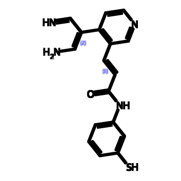 N=C/C(=C\N)c1ccncc1/C=C/C(=O)Nc1cccc(S)c1